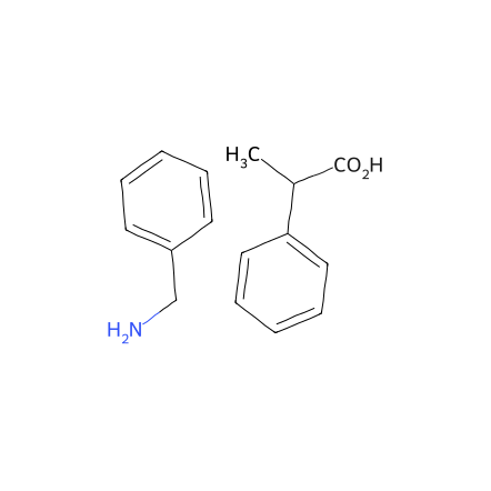 CC(C(=O)O)c1ccccc1.NCc1ccccc1